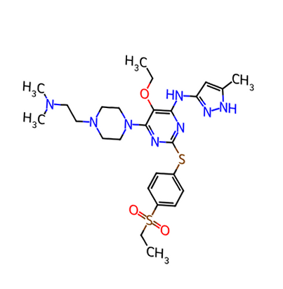 CCOc1c(Nc2cc(C)[nH]n2)nc(Sc2ccc(S(=O)(=O)CC)cc2)nc1N1CCN(CCN(C)C)CC1